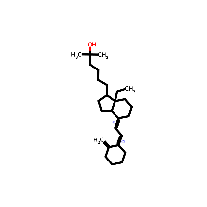 C=C1CCCC/C1=C/C=C1\CCCC2(CC)C(CCCCC(C)(C)O)CCC12